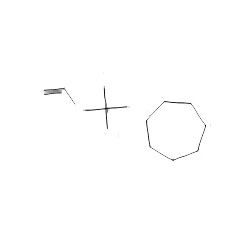 C1CCCCCC1.CC(C)(C)OC=O